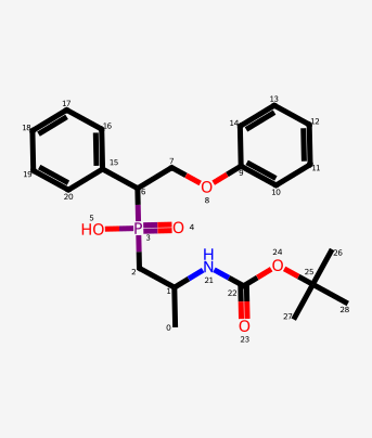 CC(CP(=O)(O)C(COc1ccccc1)c1ccccc1)NC(=O)OC(C)(C)C